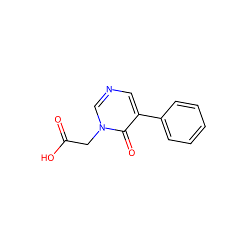 O=C(O)Cn1cncc(-c2ccccc2)c1=O